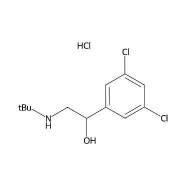 CC(C)(C)NCC(O)c1cc(Cl)cc(Cl)c1.Cl